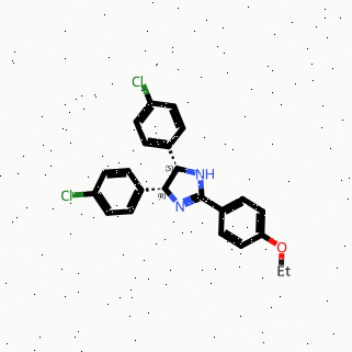 CCOc1ccc(C2=N[C@H](c3ccc(Cl)cc3)[C@H](c3ccc(Cl)cc3)N2)cc1